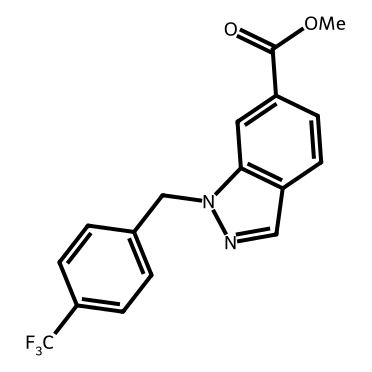 COC(=O)c1ccc2cnn(Cc3ccc(C(F)(F)F)cc3)c2c1